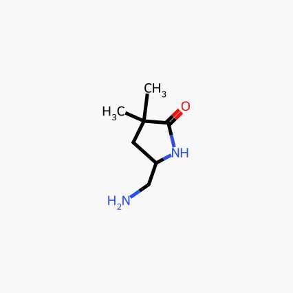 CC1(C)CC(CN)NC1=O